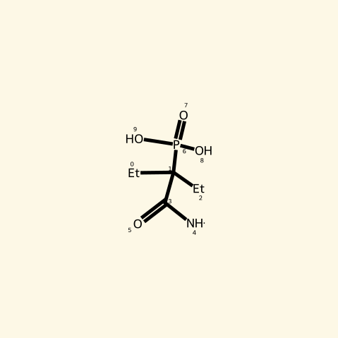 CCC(CC)(C([NH])=O)P(=O)(O)O